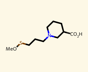 COSCCCN1CCCC(C(=O)O)C1